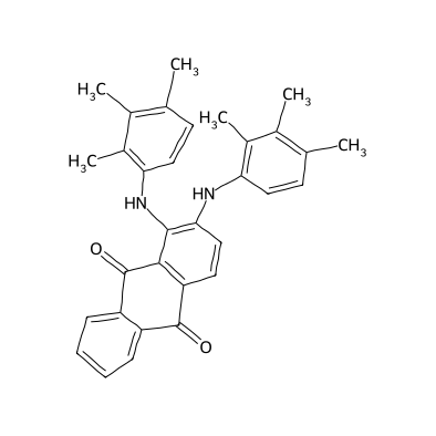 Cc1ccc(Nc2ccc3c(c2Nc2ccc(C)c(C)c2C)C(=O)c2ccccc2C3=O)c(C)c1C